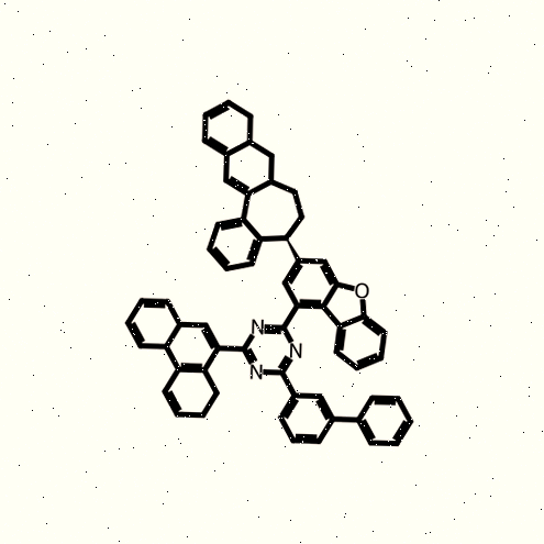 C1=CCC2CC3CC[C@@H](c4cc(-c5nc(C6=CC7C=CC=CC7C7=C6CCC=C7)nc(-c6cccc(-c7ccccc7)c6)n5)c5c(c4)oc4ccccc45)c4ccccc4C3=CC2=C1